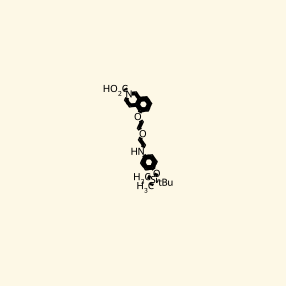 CC(C)(C)[Si](C)(C)Oc1ccc(NCCOCCOc2cccc3c2CCN(C(=O)O)C3)cc1